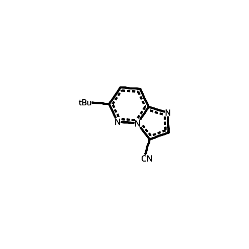 CC(C)(C)c1ccc2ncc(C#N)n2n1